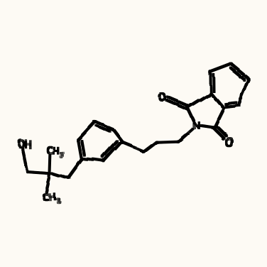 CC(C)(CO)Cc1cccc(CCCN2C(=O)c3ccccc3C2=O)c1